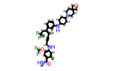 CNC(=O)c1cc(OC(F)F)c(NCC#Cc2sc3c(NC4CCC(N5CCC6(CC5)COC6)CC4)cccc3c2CC(F)(F)F)cc1F